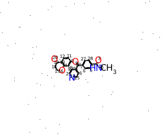 CNC(=O)c1ccc([C@H](Oc2ccc3c(c2)OCCC3=O)c2ccncc2)cc1